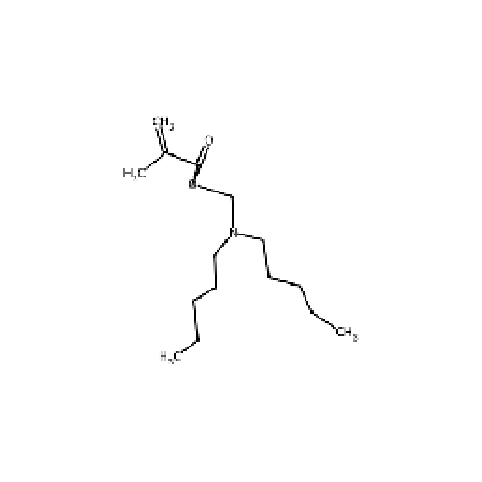 C=C(C)C(=O)OCN(CCCCC)CCCCC